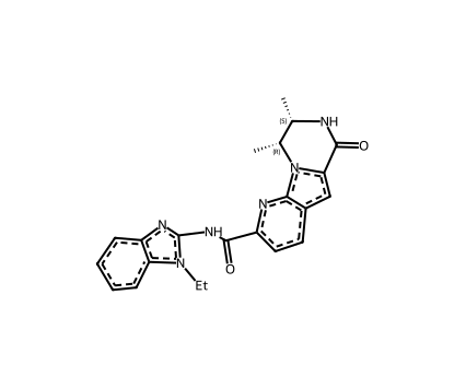 CCn1c(NC(=O)c2ccc3cc4n(c3n2)[C@H](C)[C@H](C)NC4=O)nc2ccccc21